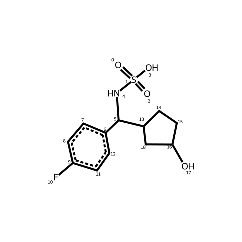 O=S(=O)(O)NC(c1ccc(F)cc1)C1CCC(O)C1